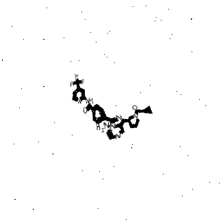 N[N+]12C=CN=CC1=C(C1CCCN(C(=O)C3CC3)C1)N=C2c1ccc(C(=O)Nc2cc(C(F)(F)F)ccn2)cc1